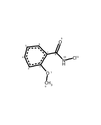 COc1ccccc1C(=O)NCl